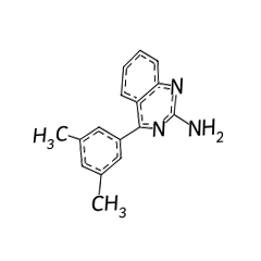 Cc1cc(C)cc(-c2nc(N)nc3ccccc23)c1